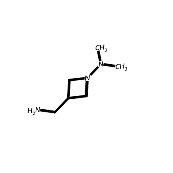 CN(C)N1CC(CN)C1